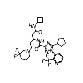 O=C(C[C@H](CCN1CCCC(F)(F)C1)NC(=O)c1nc(C2CCCC2)n(-c2cccnc2C(F)(F)F)n1)NC1CCC1